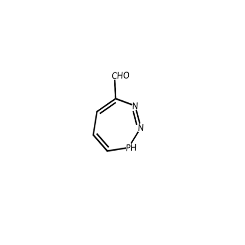 O=CC1=CC=CPN=N1